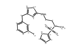 CN(CCNc1nc(Cc2cccc(F)c2)ns1)S(=O)(=O)c1cccs1